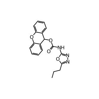 CCCc1nnc(NC(=O)OC2c3ccccc3Oc3ccccc32)o1